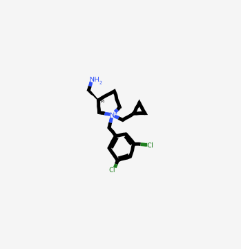 NC[C@H]1CC[N+](Cc2cc(Cl)cc(Cl)c2)(CC2CC2)C1